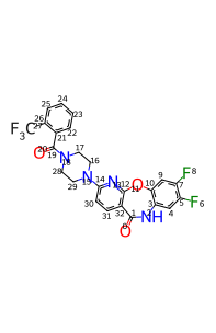 O=C1Nc2cc(F)c(F)cc2Oc2nc(N3CCN(C(=O)c4ccccc4C(F)(F)F)CC3)ccc21